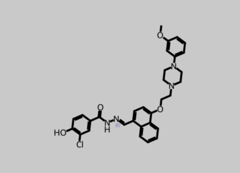 COc1cccc(N2CCN(CCOc3ccc(/C=N/NC(=O)c4ccc(O)c(Cl)c4)c4ccccc34)CC2)c1